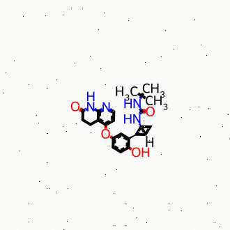 CC(C)(C)NC(=O)N[C@@]12C[C@H]1[C@H]2c1cc(Oc2ccnc3c2CCC(=O)N3)ccc1O